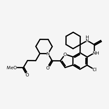 C=C1Nc2c(Cl)cc3cc(C(=O)N4CCCCC4CCC(=O)OC)oc3c2C2(CCCCC2)N1